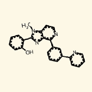 Cn1c(-c2ccccc2O)nc2c(-c3cccc(-c4ccccn4)c3)nccc21